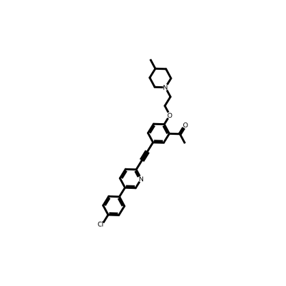 CC(=O)c1cc(C#Cc2ccc(-c3ccc(Cl)cc3)cn2)ccc1OCCN1CCC(C)CC1